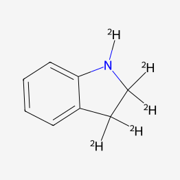 [2H]N1c2ccccc2C([2H])([2H])C1([2H])[2H]